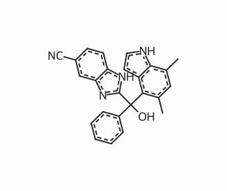 Cc1cc(C)c2[nH]ccc2c1C(O)(c1ccccc1)c1nc2cc(C#N)ccc2[nH]1